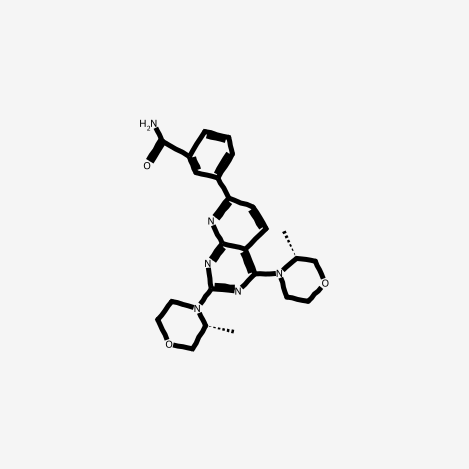 C[C@@H]1COCCN1c1nc(N2CCOC[C@H]2C)c2ccc(-c3cccc(C(N)=O)c3)nc2n1